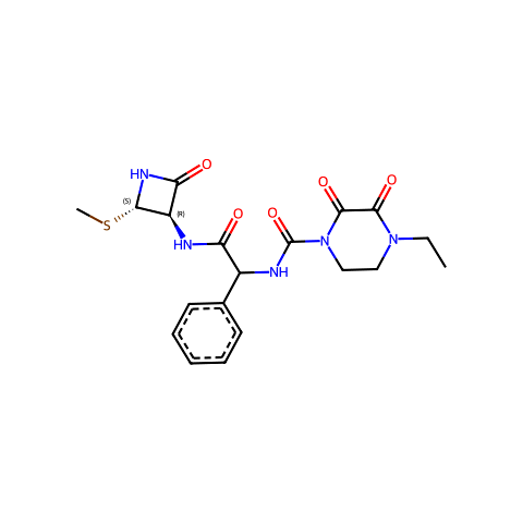 CCN1CCN(C(=O)NC(C(=O)N[C@@H]2C(=O)N[C@H]2SC)c2ccccc2)C(=O)C1=O